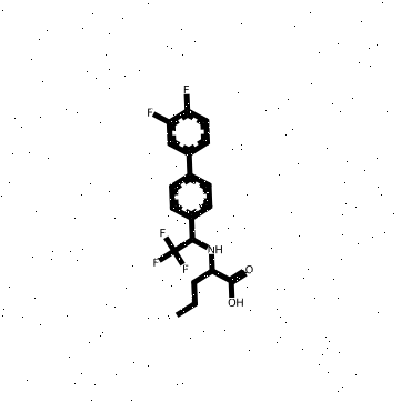 CCCC(NC(c1ccc(-c2ccc(F)c(F)c2)cc1)C(F)(F)F)C(=O)O